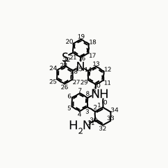 CC1=C(c2ccccc2Nc2cccc(N3c4ccccc4Sc4ccccc43)c2)C(N)=CCC1